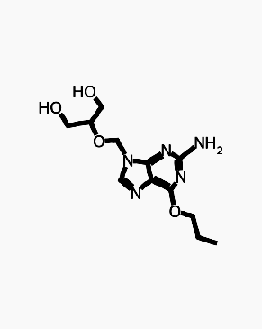 CCCOc1nc(N)nc2c1ncn2COC(CO)CO